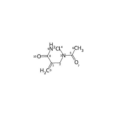 C=C(CN(Cl)C(C)=O)C(N)=O